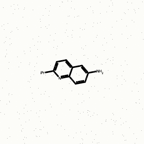 CC(C)c1ccc2cc(N)ccc2n1